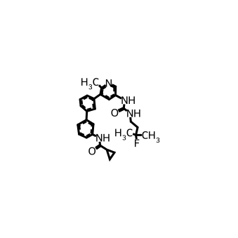 Cc1ncc(NC(=O)NCCC(C)(C)F)cc1-c1cccc(-c2cccc(NC(=O)C3CC3)c2)c1